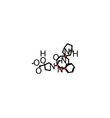 COC(=O)C1(O)CCN(c2nc3ccccc3n([C@H]3CC4CC[C@@H](C3)N4C3CCCCCCC3)c2=O)C1